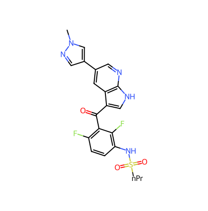 CCCS(=O)(=O)Nc1ccc(F)c(C(=O)c2c[nH]c3ncc(-c4cnn(C)c4)cc23)c1F